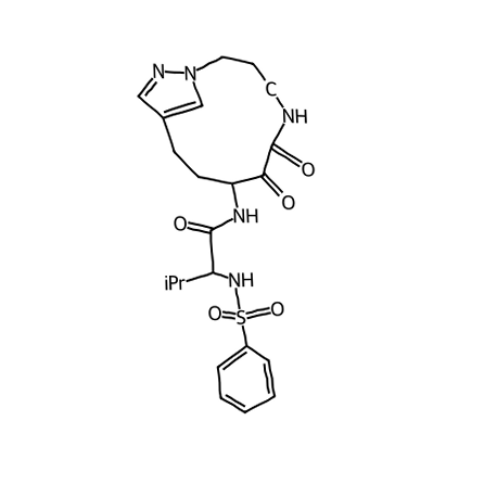 CC(C)C(NS(=O)(=O)c1ccccc1)C(=O)NC1CCc2cnn(c2)CCCNC(=O)C1=O